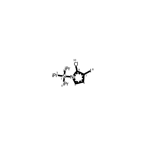 CC(C)[Si](C(C)C)(C(C)C)n1ccc(I)c1Cl